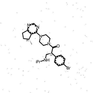 CC(C)NC[C@@H](C(=O)N1CCN(c2ncnc3c2[C@H](C)CC3)CC1)c1ccc(Br)cc1